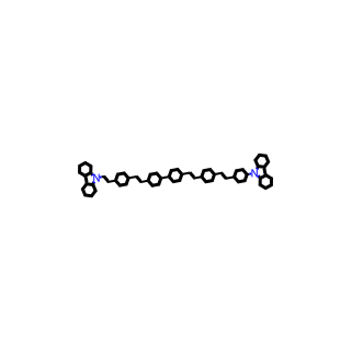 C(=C\c1ccc(-c2ccc(/C=C/c3ccc(/C=C/n4c5ccccc5c5ccccc54)cc3)cc2)cc1)/c1ccc(/C=C/c2ccc(-n3c4ccccc4c4ccccc43)cc2)cc1